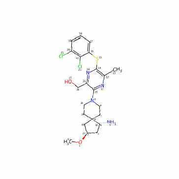 CO[C@@H]1C[C@@H](N)C2(CCN(c3nc(C)c(Sc4cccc(Cl)c4Cl)nc3CO)CC2)C1